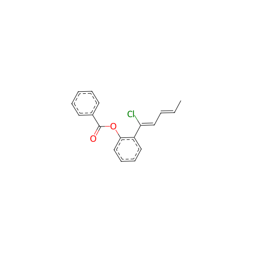 C/C=C/C=C(\Cl)c1ccccc1OC(=O)c1ccccc1